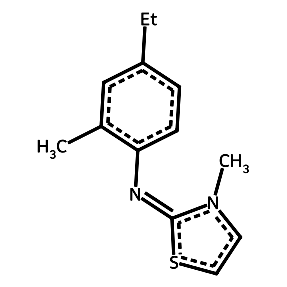 CCc1ccc(N=c2sccn2C)c(C)c1